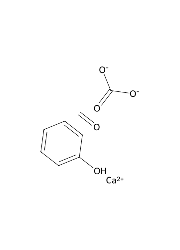 C=O.O=C([O-])[O-].Oc1ccccc1.[Ca+2]